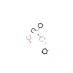 NC(=O)C1CCNCC1.O=C(NC(c1ccc2c(c1)OCO2)c1ccccn1)C1CCN(CCOc2ccccc2F)CC1